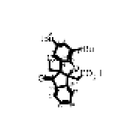 CC(C)(C)c1cc(C(C)(C)C)c2c(c1)C1(CC(=O)O)C(=O)c3ccccc3C1(CC(=O)O)O2